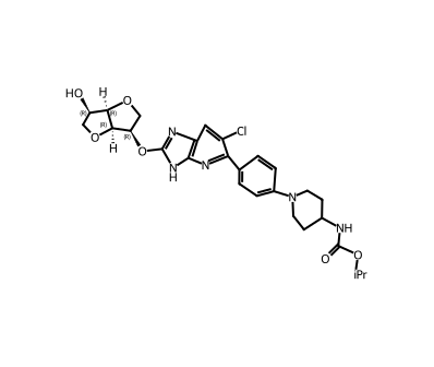 CC(C)OC(=O)NC1CCN(c2ccc(-c3nc4[nH]c(O[C@@H]5CO[C@H]6[C@@H]5OC[C@H]6O)nc4cc3Cl)cc2)CC1